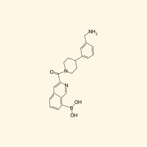 NCc1cccc(C2CCN(C(=O)c3cc4cccc(B(O)O)c4cn3)CC2)c1